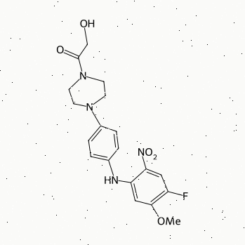 COc1cc(Nc2ccc(N3CCN(C(=O)CO)CC3)cc2)c([N+](=O)[O-])cc1F